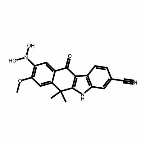 COc1cc2c(cc1N(O)O)C(=O)c1c([nH]c3cc(C#N)ccc13)C2(C)C